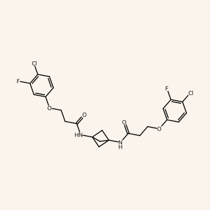 O=C(CCOc1ccc(Cl)c(F)c1)NC12CC(NC(=O)CCOc3ccc(Cl)c(F)c3)(C1)C2